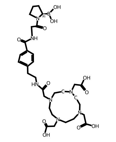 O=C(O)CN1CCN(CC(=O)O)CCN(CC(=O)NCCc2ccc(C(=O)NCC(=O)N3CCC[C@H]3B(O)O)cc2)CCN(CC(=O)O)CC1